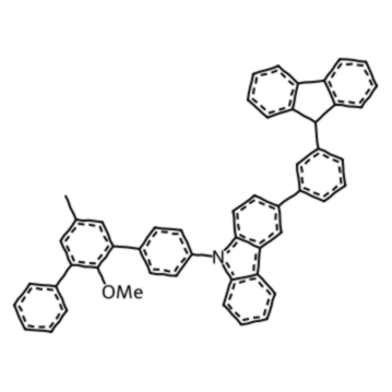 COc1c(-c2ccccc2)cc(C)cc1-c1ccc(-n2c3ccccc3c3cc(-c4cccc(C5c6ccccc6-c6ccccc65)c4)ccc32)cc1